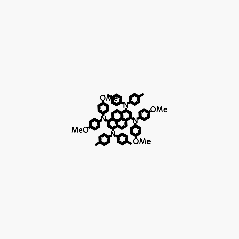 COc1ccc(N(c2ccc(OC)cc2)c2cc(N(c3ccc(C)cc3)c3ccc(C)cc3)c3ccc4c(N(c5ccc(OC)cc5)c5ccc(OC)cc5)cc(N(c5ccc(C)cc5)c5ccc(C)cc5)c5ccc2c3c54)cc1